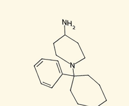 NC1CCN(C2(c3ccccc3)CCCCCC2)CC1